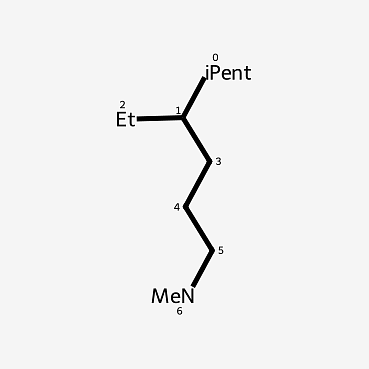 CCCC(C)C(CC)CCCNC